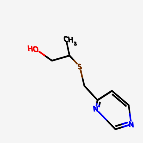 CC(CO)SCc1ccncn1